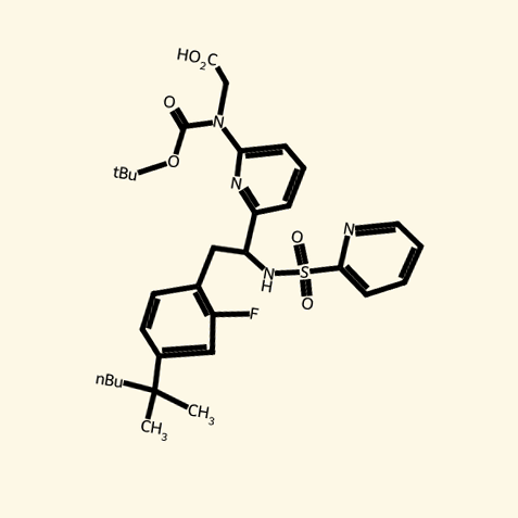 CCCCC(C)(C)c1ccc(CC(NS(=O)(=O)c2ccccn2)c2cccc(N(CC(=O)O)C(=O)OC(C)(C)C)n2)c(F)c1